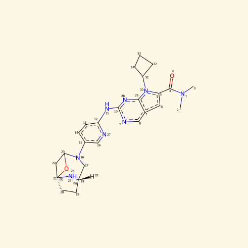 CN(C)C(=O)c1cc2cnc(Nc3ccc(N4C[C@@H]5CC[C@@]6(CC4O6)N5)cn3)nc2n1C1CCC1